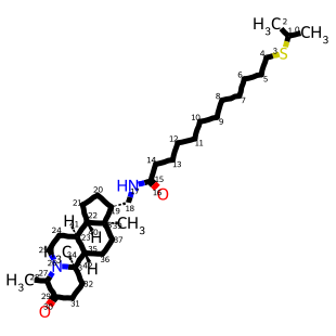 CC(C)SCCCCCCCCCCCC(=O)NC[C@H]1CC[C@H]2[C@@H]3CCN4C(C)C(=O)CC[C@]4(C)[C@H]3CC[C@]12C